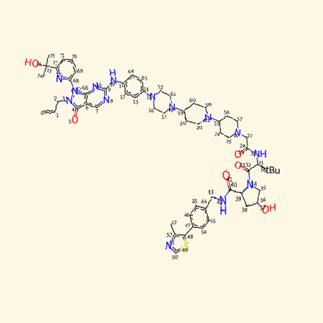 C=CCn1c(=O)c2cnc(Nc3ccc(N4CCN(C5CCN(C6CCN(CC(=O)N[C@H](C(=O)N7CC(O)CC7C(=O)NCc7ccc(-c8scnc8C)cc7)C(C)(C)C)CC6)CC5)CC4)cc3)nc2n1-c1cccc(C(C)(C)O)n1